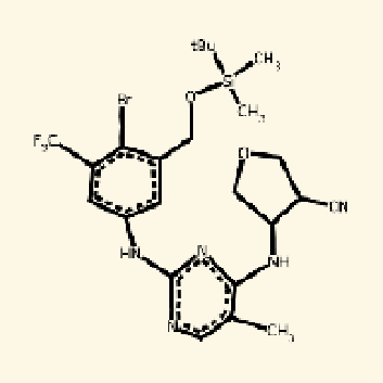 Cc1cnc(Nc2cc(CO[Si](C)(C)C(C)(C)C)c(Br)c(C(F)(F)F)c2)nc1NC1COCC1C#N